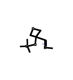 C/N=C/C1(O[Si](C)(C)C)COC1